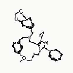 CCCCn1c(-c2ccccc2)nc(Cl)c1CN(Cc1cccc(OC)c1)Cc1ccc2c(c1)OCO2